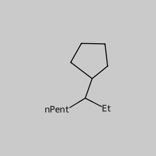 [CH2]CCCCC(C[CH2])C1CCCC1